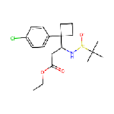 CCOC(=O)CC(N[S+]([O-])C(C)(C)C)C1(c2ccc(Cl)cc2)CCC1